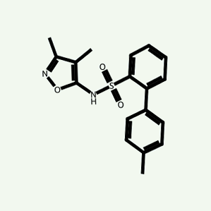 Cc1ccc(-c2ccccc2S(=O)(=O)Nc2onc(C)c2C)cc1